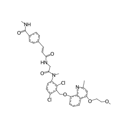 CNC(=O)c1ccc(C=CC(=O)NCC(=O)N(C)c2ccc(Cl)c(COc3cccc4c(OCCOC)cc(C)nc34)c2Cl)cc1